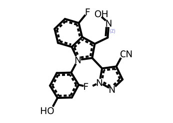 Cn1ncc(C#N)c1-c1c(/C=N\O)c2c(F)cccc2n1-c1ccc(O)cc1F